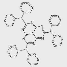 c1ccc(C(C2=NC3=NC(C(c4ccccc4)c4ccccc4)=NC4=NC(C(c5ccccc5)c5ccccc5)=NC(=N2)N34)c2ccccc2)cc1